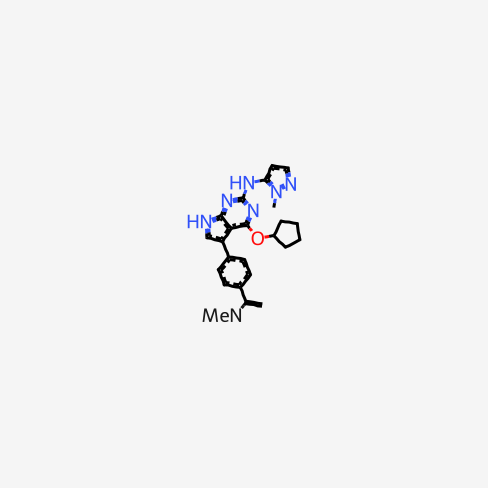 C=C(NC)c1ccc(-c2c[nH]c3nc(Nc4ccnn4C)nc(OC4CCCC4)c23)cc1